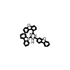 c1ccc2c(c1)oc1cc(C3=NC(c4cccc5oc6ccccc6c45)=NC(n4c5ccccc5c5ccccc54)N3)ccc12